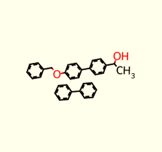 CC(O)c1ccc(-c2ccc(OCc3ccccc3)cc2)cc1.c1ccc(-c2ccccc2)cc1